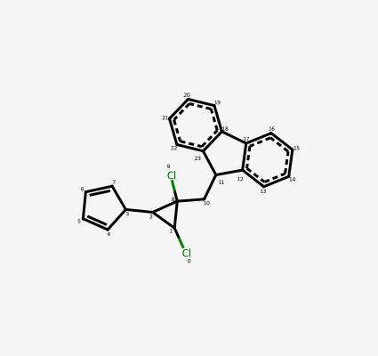 ClC1C(C2C=CC=C2)C1(Cl)CC1c2ccccc2-c2ccccc21